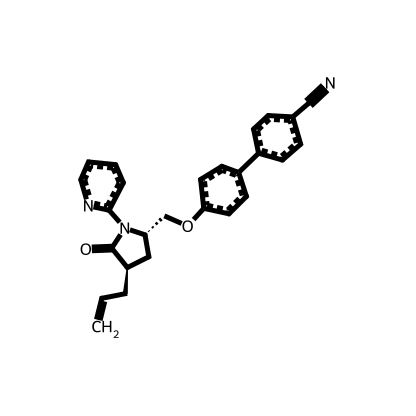 C=CC[C@@H]1C[C@@H](COc2ccc(-c3ccc(C#N)cc3)cc2)N(c2ccccn2)C1=O